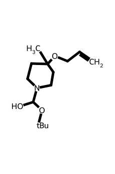 C=CCOC1(C)CCN(C(O)OC(C)(C)C)CC1